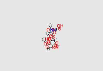 CC(=O)O[C@H]1C(=O)[C@@]2(C)C([C@H](OC(=O)c3ccccc3)[C@]3(O)C[C@H](OC(=O)C(OC(=O)CCC(=O)O)C(NC(=O)c4ccccc4)c4ccccc4)C(C)=C1C3(C)C)[C@]1(OC(C)=O)CO[C@@H]1C[C@@H]2O